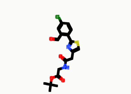 CC(C)(C)OC(=O)CNC(=O)Cc1csc(-c2ccc(Cl)cc2C=O)n1